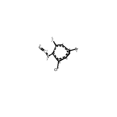 Fc1cc(Br)cc(Cl)c1N=C=S